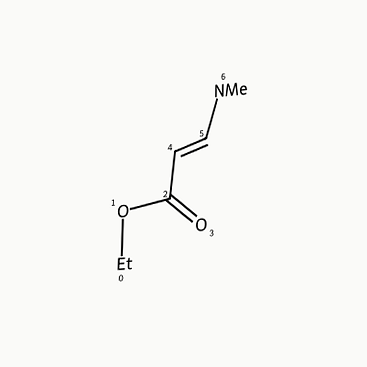 CCOC(=O)C=CNC